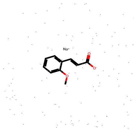 COc1ccccc1/C=C/C(=O)[O-].[Na+]